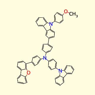 COc1ccc(-n2c3ccccc3c3cc(-c4ccc(N(c5ccc(-c6cccc7c6oc6ccccc67)cc5)c5ccc(-n6c7ccccc7c7ccccc76)cc5)cc4)ccc32)cc1